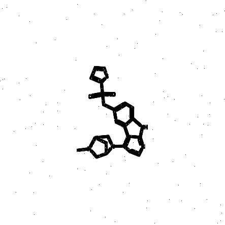 CN1CC2CC1CN2c1ccnc2[nH]c3ccc(CS(=O)(=O)c4cccs4)cc3c12